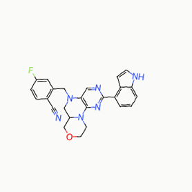 N#Cc1ccc(F)cc1CN1CC2COCCN2c2nc(-c3cccc4[nH]ccc34)ncc21